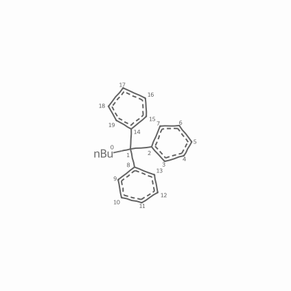 CCCCC(c1ccccc1)(c1ccccc1)c1ccccc1